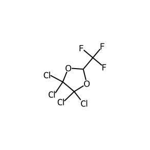 FC(F)(F)C1OC(Cl)(Cl)C(Cl)(Cl)O1